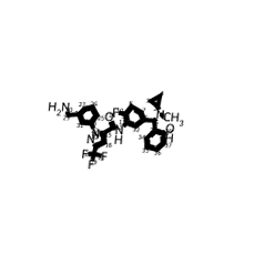 CN(C1CC1)C(c1ccc(F)c(NC(=O)c2cc(C(F)(F)F)nn2-c2cccc(CN)c2)c1)c1ccccc1O